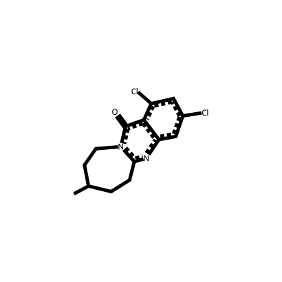 CC1CCc2nc3cc(Cl)cc(Cl)c3c(=O)n2CC1